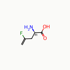 C=C(F)C[C@@H](N)C(=O)O